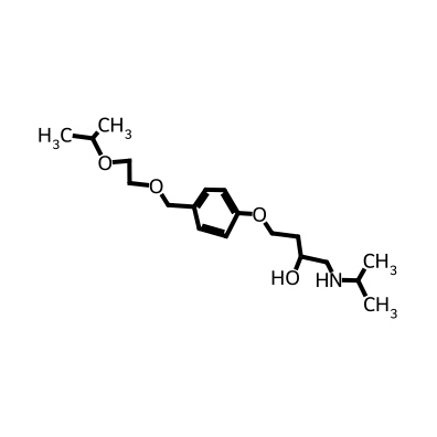 CC(C)NCC(O)CCOc1ccc(COCCOC(C)C)cc1